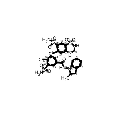 CC1Cc2ccccc2N1NC(=O)c1ccc(Cl)c(S(N)(=O)=O)c1.NS(=O)(=O)c1cc2c(cc1Cl)NCNS2(=O)=O